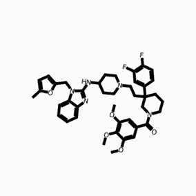 COc1cc(C(=O)N2CCCC(CCN3CCC(Nc4nc5ccccc5n4Cc4ccc(C)o4)CC3)(c3ccc(F)c(F)c3)C2)cc(OC)c1OC